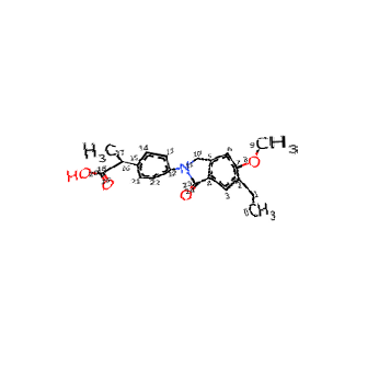 CCc1cc2c(cc1OC)CN(c1ccc(C(C)C(=O)O)cc1)C2=O